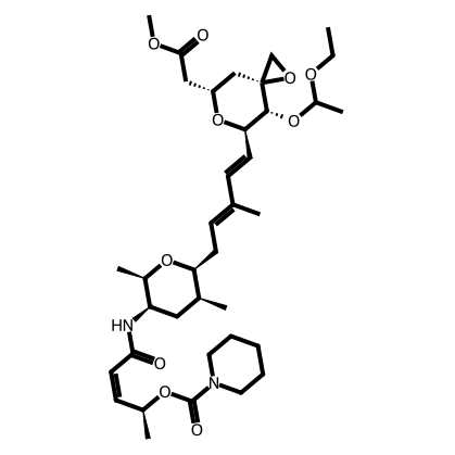 CCOC(C)O[C@@H]1[C@@H](/C=C/C(C)=C/C[C@@H]2O[C@H](C)[C@H](NC(=O)/C=C\[C@H](C)OC(=O)N3CCCCC3)C[C@@H]2C)O[C@H](CC(=O)OC)C[C@@]12CO2